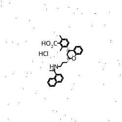 Cc1ccc([C@H]2C[C@@H](CCCN[C@H](C)c3cccc4ccccc34)Oc3ccccc32)c(C)c1C(=O)O.Cl